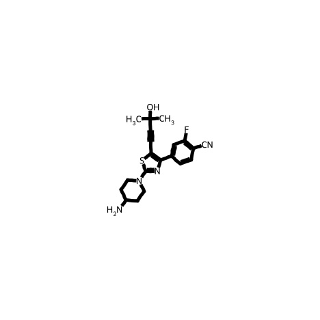 CC(C)(O)C#Cc1sc(N2CCC(N)CC2)nc1-c1ccc(C#N)c(F)c1